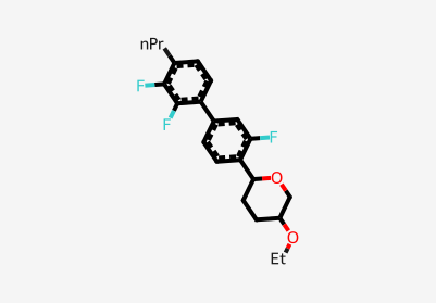 CCCc1ccc(-c2ccc(C3CCC(OCC)CO3)c(F)c2)c(F)c1F